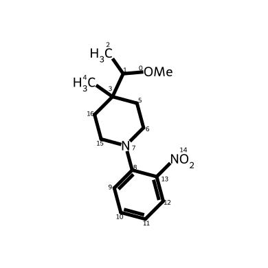 COC(C)C1(C)CCN(c2ccccc2[N+](=O)[O-])CC1